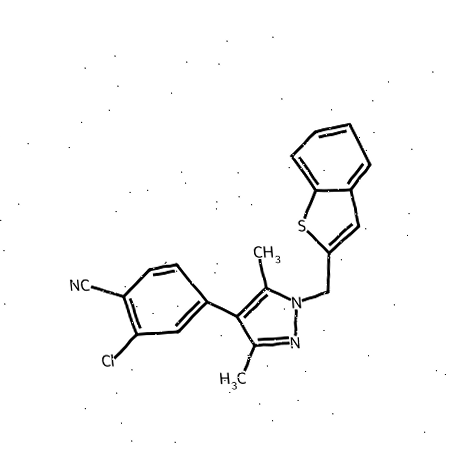 Cc1nn(Cc2cc3ccccc3s2)c(C)c1-c1ccc(C#N)c(Cl)c1